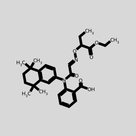 CCOC(=O)C(CC)ON=CC(=O)N(c1ccc2c(c1)C(C)(C)CCC2(C)C)c1ccccc1C(=O)O